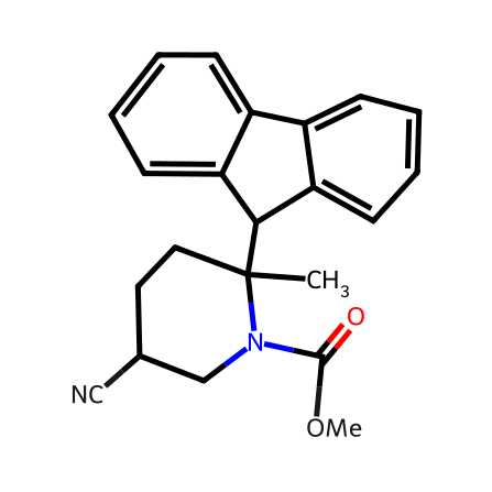 COC(=O)N1CC(C#N)CCC1(C)C1c2ccccc2-c2ccccc21